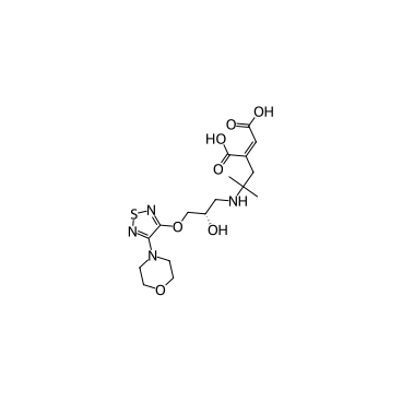 CC(C)(C/C(=C/C(=O)O)C(=O)O)NC[C@H](O)COc1nsnc1N1CCOCC1